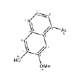 COc1cc2c(C(C)=O)ccnc2cc1O